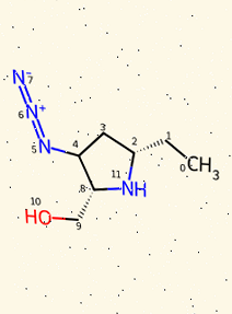 CC[C@H]1CC(N=[N+]=[N-])[C@@H](CO)N1